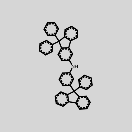 c1ccc(C2(c3cccc(Nc4ccc5c(c4)-c4ccccc4C5(c4ccccc4)c4ccccc4)c3)c3ccccc3-c3ccccc32)cc1